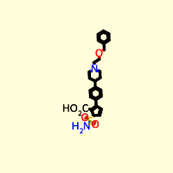 NS(=O)(=O)C1C=CC(c2ccc(C3CCN(CCOCc4ccccc4)CC3)cc2)=C1C(=O)O